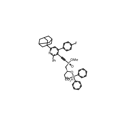 COP(=O)(C#Cc1c(-c2ccc(F)cc2)cc(C23CC4CC(CC(C4)C2)C3)nc1C(C)C)C[C@H](CC(=O)O)O[Si](c1ccccc1)(c1ccccc1)C(C)(C)C